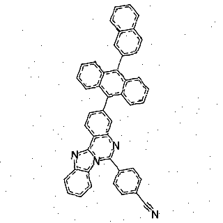 N#Cc1ccc(-c2nc3cc(-c4c5ccccc5c(-c5ccc6ccccc6c5)c5ccccc45)ccc3c3nc4ccccc4n23)cc1